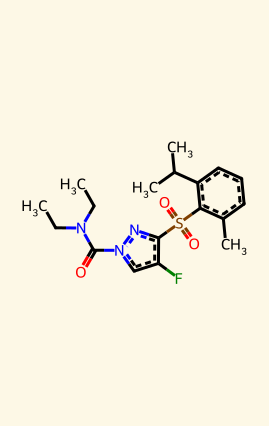 CCN(CC)C(=O)n1cc(F)c(S(=O)(=O)c2c(C)cccc2C(C)C)n1